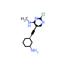 CNc1nc(Cl)ncc1C#C[C@@H]1CCC[C@H](N)C1